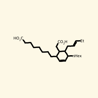 CCC=CCC1C(CCCCCC)C=CC(CCCCCCCC(=O)O)C1CC(=O)O